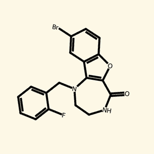 O=C1NCCN(Cc2ccccc2F)c2c1oc1ccc(Br)cc21